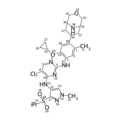 Cc1cc(Nc2ncc(Cl)c(Nc3cn(C)nc3S(=O)(=O)C(C)C)n2)c(OC2CC2)cc1C1CC2COCC(C1)N2